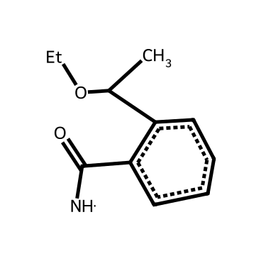 CCOC(C)c1ccccc1C([NH])=O